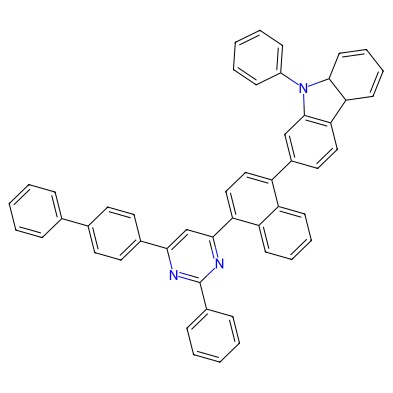 C1=CC2c3ccc(-c4ccc(-c5cc(-c6ccc(-c7ccccc7)cc6)nc(-c6ccccc6)n5)c5ccccc45)cc3N(c3ccccc3)C2C=C1